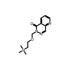 C[Si](C)(C)CCOCn1ncc2ncccc2c1=O